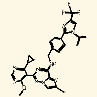 COc1ncnc(C2CC2)c1-c1nc(NCc2ccc(-c3nc(C(F)(F)F)cn3C(C)C)cc2)c2nc(F)cn2n1